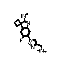 CNCc1cn(-c2cc3c(cc2F)C2(CCC2)C(NC)=N3)nn1